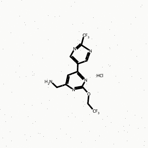 Cl.NCc1cc(-c2cnc(C(F)(F)F)nc2)nc(OCC(F)(F)F)n1